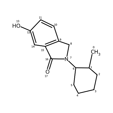 CC1CCCCC1N1Cc2ccc(O)cc2C1=O